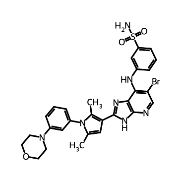 Cc1cc(-c2nc3c(Nc4cccc(S(N)(=O)=O)c4)c(Br)cnc3[nH]2)c(C)n1-c1cccc(N2CCOCC2)c1